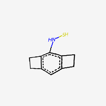 SNc1c2c(cc3c1CC3)CC2